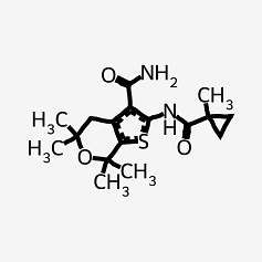 CC1(C)Cc2c(sc(NC(=O)C3(C)CC3)c2C(N)=O)C(C)(C)O1